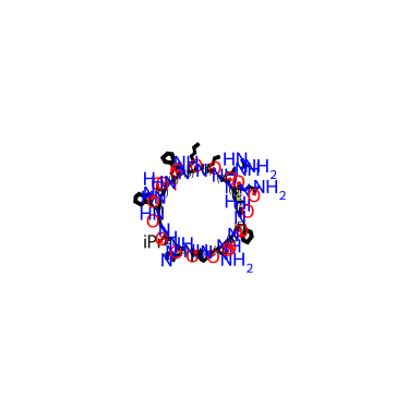 C=CCCCC[C@H]1C(=O)N(C)[C@@H](CCC=C)C(=O)N[C@@H](CCCNC(=N)N)C(=O)N[C@H](C(=O)NCC(N)=O)CSCC(=O)N[C@@H](Cc2ccccc2)C(=O)N(C)[C@@H](C)C(=O)N[C@@H](CC(N)=O)C(=O)N2CCC[C@H]2C(=O)N[C@@H](Cc2cnc[nH]2)C(=O)N[C@@H](CC(C)C)C(=O)N(C)CC(=O)N[C@@H](Cc2c[nH]c3ccccc23)C(=O)N[C@@H](CO)C(=O)N[C@@H](Cc2c[nH]c3ccccc23)C(=O)N1C